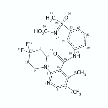 Cc1c(C(F)(F)F)cnc(N2CCC(F)(F)CC2)c1C(=O)Nc1cccc(S(C)(=O)=NC(=O)O)c1